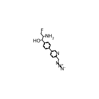 [N-]=[N+]=NCc1ccc(-c2ccc([C@@H](O)[C@H](N)CF)cc2)cn1